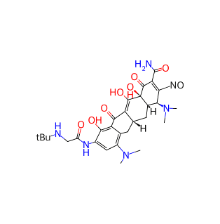 CN(C)c1cc(NC(=O)CNC(C)(C)C)c(O)c2c1C[C@H]1C[C@H]3[C@H](N(C)C)C(N=O)=C(C(N)=O)C(=O)[C@@]3(O)C(O)=C1C2=O